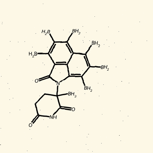 Bc1c(B)c2c3c(c(B)c(B)c(B)c3c1B)N(C1(B)CCC(=O)NC1=O)C2=O